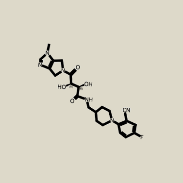 Cn1cnc2c1CN(C(=O)[C@H](O)[C@@H](O)C(=O)NCC1CCN(c3ccc(F)cc3C#N)CC1)C2